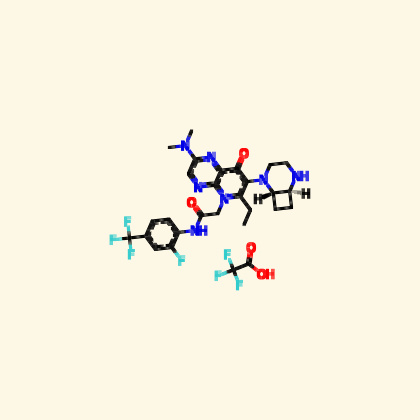 CCc1c(N2CCN[C@H]3CC[C@@H]32)c(=O)c2nc(N(C)C)cnc2n1CC(=O)Nc1ccc(C(F)(F)F)cc1F.O=C(O)C(F)(F)F